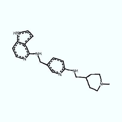 CN1CCC(CNc2ccc(CNc3nccc4[nH]ccc34)cn2)CC1